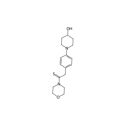 OC1CCN(c2ccc(CC(=S)N3CCOCC3)cc2)CC1